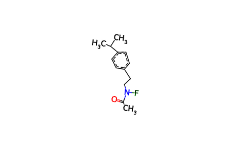 CC(=O)N(F)CCc1ccc(C(C)C)cc1